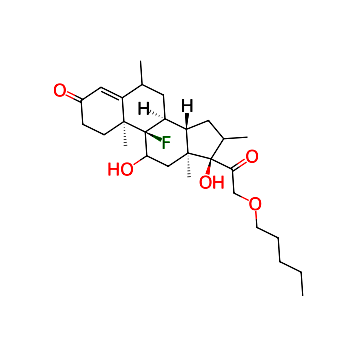 CCCCCOCC(=O)[C@@]1(O)C(C)C[C@H]2[C@@H]3CC(C)C4=CC(=O)CC[C@]4(C)[C@@]3(F)C(O)C[C@@]21C